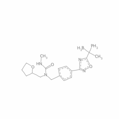 BC(C)(P)c1nc(-c2ccc(CN(CC3CCCO3)C(=O)NC)cc2)no1